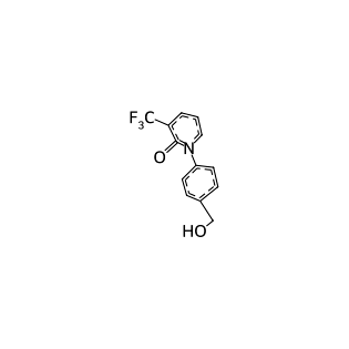 O=c1c(C(F)(F)F)cccn1-c1ccc(CO)cc1